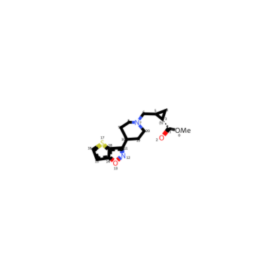 COC(=O)[C@H]1CC1CN1CCC(c2noc3ccsc23)CC1